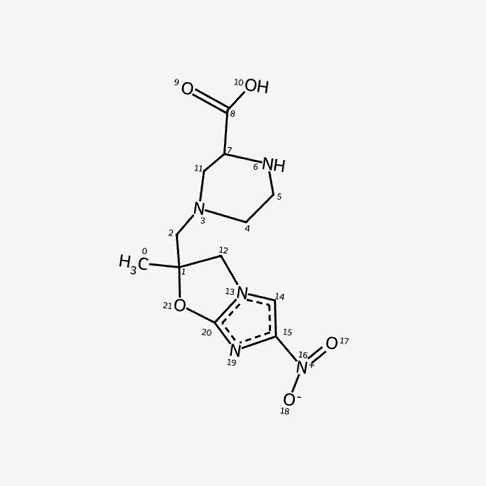 CC1(CN2CCNC(C(=O)O)C2)Cn2cc([N+](=O)[O-])nc2O1